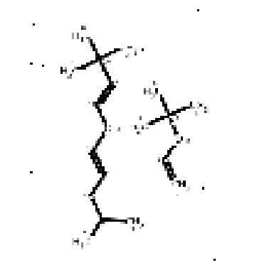 C=COC(C)(C)C.CC(C)CC=COC=CC(C)(C)C